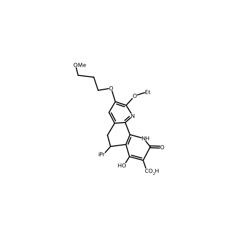 CCOc1nc2c(cc1OCCCOC)CC(C(C)C)c1c-2[nH]c(=O)c(C(=O)O)c1O